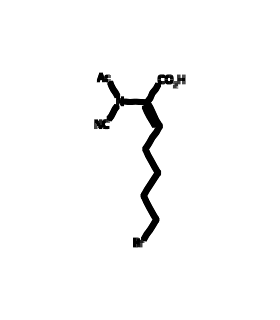 CC(=O)N(C#N)/C(=C\CCCCBr)C(=O)O